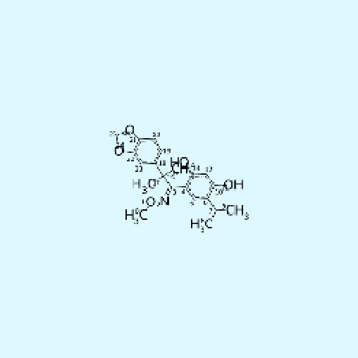 CON=C(c1cc(C(C)C)c(O)cc1O)C(C)(C)c1ccc2c(c1)OCO2